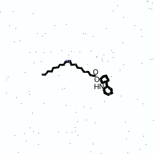 CCCCCCCC/C=C\CCCCCCCC(=O)Oc1cccc2c1[nH]c1ccccc12